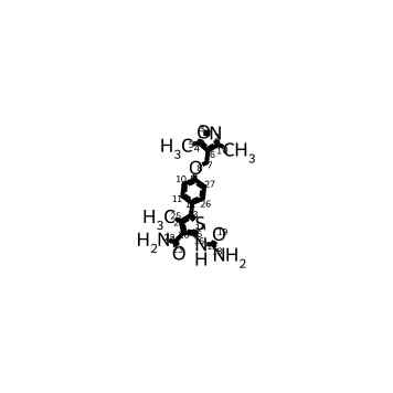 Cc1noc(C)c1COc1ccc(-c2sc(NC(N)=O)c(C(N)=O)c2C)cc1